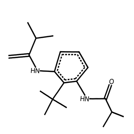 C=C(Nc1cccc(NC(=O)C(C)C)c1C(C)(C)C)C(C)C